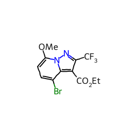 CCOC(=O)c1c(C(F)(F)F)nn2c(OC)ccc(Br)c12